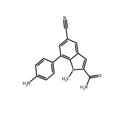 Cn1c(C(N)=O)cc2cc(C#N)cc(-c3ccc(N)cc3)c21